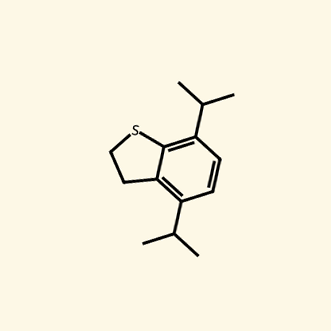 CC(C)c1ccc(C(C)C)c2c1CCS2